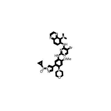 COc1cc(N2CCOCC2)c(-c2cnn([S+]([O-])C3CC3)c2)cc1Nc1ncc(Br)c(Nc2ccc3nccnc3c2P(C)C)n1